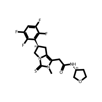 Cn1c(CC(=O)N[C@@H]2CCOC2)c2n(c1=S)C[C@@H](c1c(F)c(F)cc(F)c1F)C2